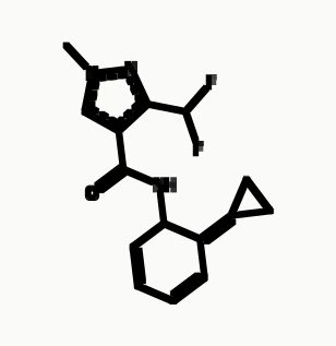 Cn1cc(C(=O)NC2C=CC=CC2=C2CC2)c(C(F)F)n1